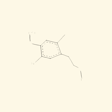 CCCCOc1cc(S)c(CCOCC)cc1Br